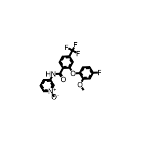 COc1cc(F)ccc1Oc1cc(C(F)(F)F)ccc1C(=O)Nc1ccc[n+]([O-])c1